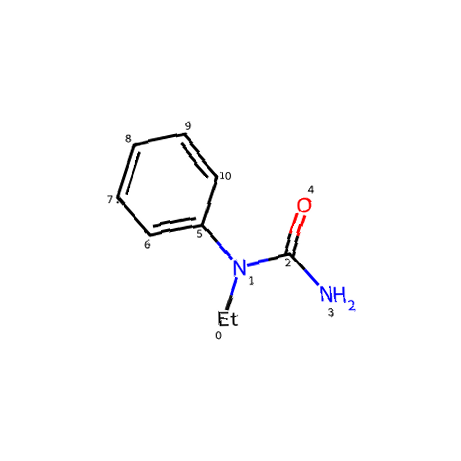 CCN(C(N)=O)c1c[c]ccc1